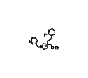 CCOC[C@@]1(CCc2ccccc2F)CCN(Cc2cccnc2)C1